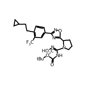 CC(C)(C)OC(=O)NC(=NC(=O)O)N1CCCC1c1nc(-c2ccc(CCC3CC3)c(C(F)(F)F)c2)no1